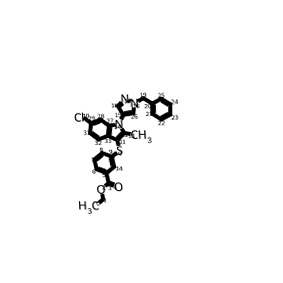 CCOC(=O)c1cccc(Sc2c(C)n(-c3cnn(Cc4ccccc4)c3)c3cc(Cl)ccc23)c1